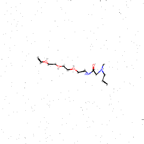 CCCN(C)CC(=O)NCCOCCOCCOCC